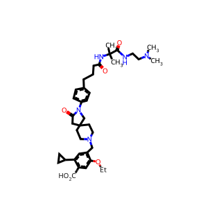 CCOc1cc(C(=O)O)c(C2CC2)cc1CN1CCC2(CC1)CC(=O)N(c1ccc(CCCC(=O)NC(C)(C)C(=O)NCCN(C)C)cc1)C2